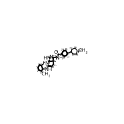 Cc1cccc(F)c1Nc1ccc2c(NC(=O)c3ccc(C4CCN(C)CC4)cc3)n[nH]c2n1